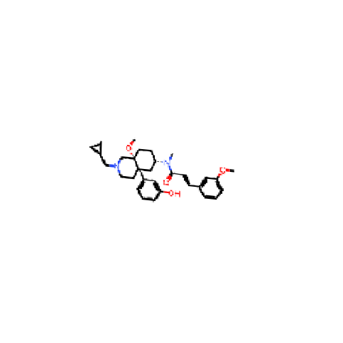 COc1cccc(C=CC(=O)N(C)[C@H]2CC[C@]3(OC)CN(CC4CC4)CC[C@@]3(c3cccc(O)c3)C2)c1